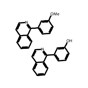 COc1cccc(-c2nccc3ccccc23)c1.Oc1cccc(-c2nccc3ccccc23)c1